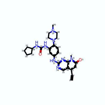 C#Cc1cc(=O)n(C)c2nc(Nc3ccc(N4CCN(C)CC4)c(NC(=O)NC4CCCC4)c3)ncc12